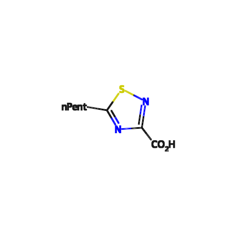 CCCCCc1nc(C(=O)O)ns1